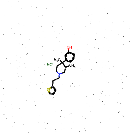 CC1CN(CCc2cccs2)CCC1(C)c1cccc(O)c1.Cl